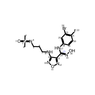 CS(C)(=O)=NCCCNc1nonc1/C(=N/O)Nc1ccc(F)c(Br)c1